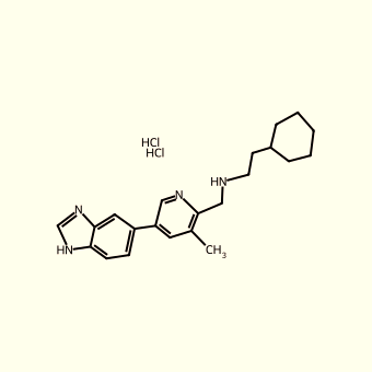 Cc1cc(-c2ccc3[nH]cnc3c2)cnc1CNCCC1CCCCC1.Cl.Cl